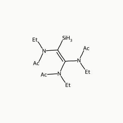 CCN(C(C)=O)C([SiH3])=C(N(CC)C(C)=O)N(CC)C(C)=O